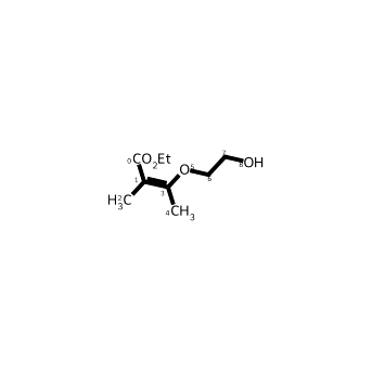 CCOC(=O)C(C)=C(C)OCCO